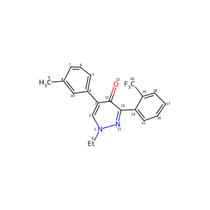 CCn1cc(-c2cccc(C)c2)c(=O)c(-c2ccccc2C(F)(F)F)n1